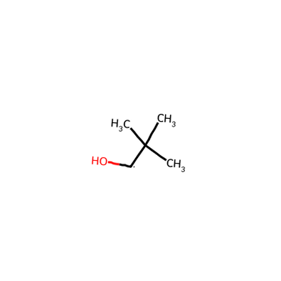 CC(C)(C)[CH]O